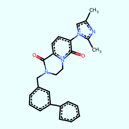 Cc1cn(-c2ccc3n(c2=O)CCN(Cc2cccc(-c4ccccc4)c2)C3=O)c(C)n1